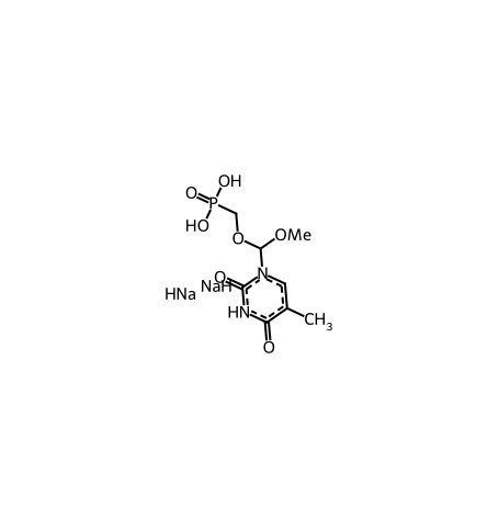 COC(OCP(=O)(O)O)n1cc(C)c(=O)[nH]c1=O.[NaH].[NaH]